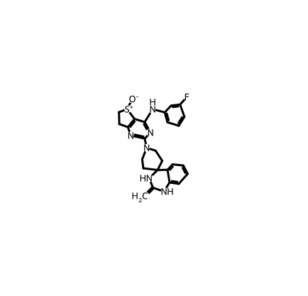 C=C1Nc2ccccc2C2(CCN(c3nc4c(c(Nc5cccc(F)c5)n3)[S+]([O-])CC4)CC2)N1